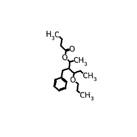 CCCOC(CC)C(Cc1ccccc1)C(C)OC(=O)CCC